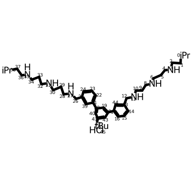 CC(C)CCNCCCNCCCNCc1cccc(-c2cc(-c3cccc(CNCCCNCCCNCCC(C)C)c3)cc(C(C)(C)C)c2)c1.Cl